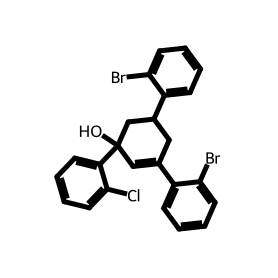 OC1(c2ccccc2Cl)C=C(c2ccccc2Br)CC(c2ccccc2Br)C1